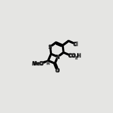 CO[C@@H]1C(=O)N2C(C(=O)O)C(CCl)=CSC12